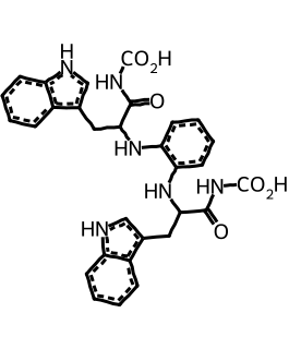 O=C(O)NC(=O)C(Cc1c[nH]c2ccccc12)Nc1ccccc1NC(Cc1c[nH]c2ccccc12)C(=O)NC(=O)O